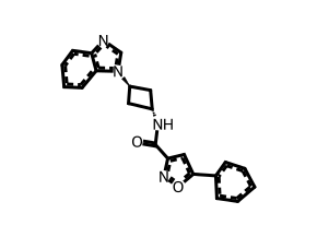 O=C(N[C@H]1C[C@H](n2cnc3ccccc32)C1)c1cc(-c2ccccc2)on1